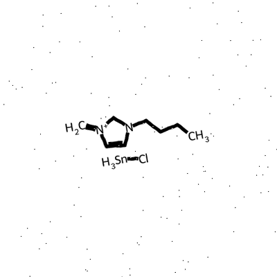 C=[N+]1C=CN(CCCC)C1.[Cl][SnH3]